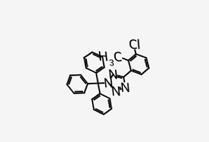 Cc1c(Cl)cccc1-c1nnn(C(c2ccccc2)(c2ccccc2)c2ccccc2)n1